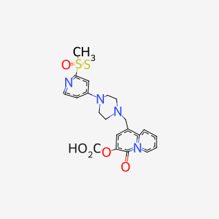 CS(=O)(=S)c1cc(N2CCN(Cc3cc(OC(=O)O)c(=O)n4ccccc34)CC2)ccn1